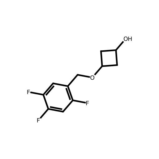 OC1CC(OCc2cc(F)c(F)cc2F)C1